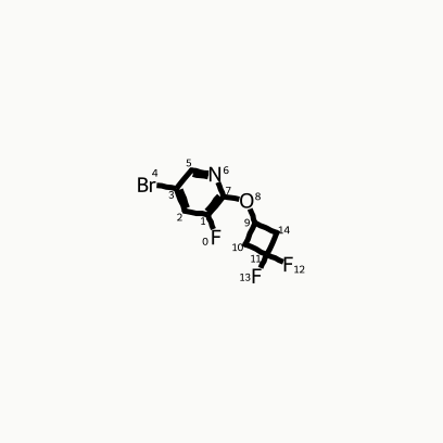 Fc1cc(Br)cnc1OC1CC(F)(F)C1